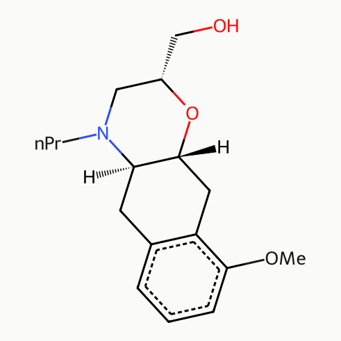 CCCN1C[C@H](CO)O[C@@H]2Cc3c(cccc3OC)C[C@H]21